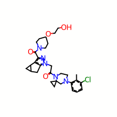 Cc1c(Cl)cccc1N1CCN(C(=O)Cn2nc(C(=O)N3CCC(OCCO)CC3)c3c2CC2CC32)C2(CC2)C1